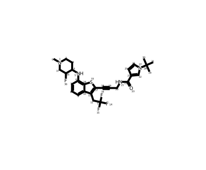 CN1CCC(Nc2cccc3c(CC(F)(F)F)c(C#CCNC(=O)c4ccn(C(C)(C)C)c4)sc23)C(F)C1